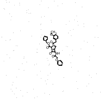 COc1cccc(CC(=O)N2CC3[C@@H](NC(=O)COc4ccccc4)C(=O)N3C2C(=O)OCc2ccccc2)c1